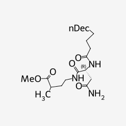 CCCCCCCCCCCCCC(=O)N[C@H](CC(N)=O)C(=O)NCCC(C)C(=O)OC